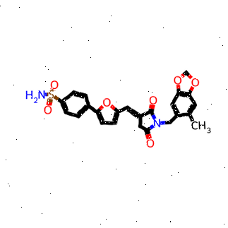 Cc1cc2c(cc1CN1C(=O)C/C(=C\c3ccc(-c4ccc(S(N)(=O)=O)cc4)o3)C1=O)OCO2